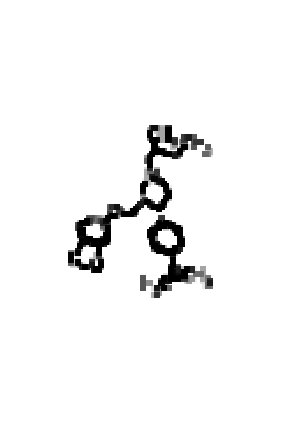 CCC(C)CN1CC[C@H](c2ccc(N(C)C)cc2)[C@@H](COc2ccc3c(c2)OCO3)C1